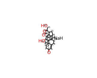 C[C@]12CCC(=O)C=C1CC[C@@H]1[C@@H]2[C@@H](O)C[C@]2(C=O)[C@@H](C(=O)CO)CC[C@@H]12.[NaH]